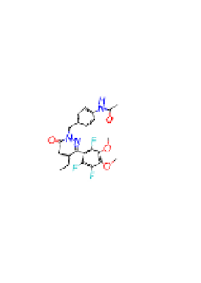 CCC1CC(=O)N(Cc2ccc(NC(C)=O)cc2)N=C1c1c(F)c(F)c(OC)c(OC)c1F